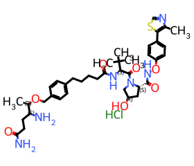 Cc1ncsc1-c1ccc(ONC(=O)[C@@H]2C[C@@H](O)CN2C(=O)[C@@H](NC(=O)CCCCc2ccc(CO[C@H](C)[C@@H](N)CCC(N)=O)cc2)C(C)(C)C)cc1.Cl